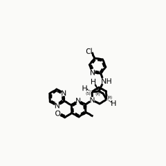 Cc1cc(C=O)c(-c2ncccn2)nc1N1C[C@@H]2CC[C@H]1[C@H](Nc1ccc(Cl)cn1)C2